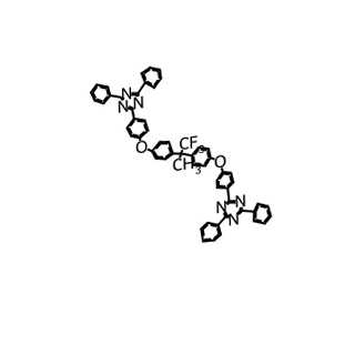 CC(c1ccc(Oc2ccc(-c3nc(-c4ccccc4)nc(-c4ccccc4)n3)cc2)cc1)(c1ccc(Oc2ccc(-c3nc(-c4ccccc4)nc(-c4ccccc4)n3)cc2)cc1)C(F)(F)F